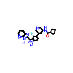 O=C(Nc1cncc(-c2ccc3[nH]nc(-c4nc5cccnc5[nH]4)c3c2F)c1)C1CCCC1